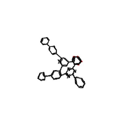 c1ccc(-c2ccc(-c3cc(-c4ccccc4)cc(-c4cc(-c5ccccc5)ccc4-c4nc(-c5ccccc5)nc(-c5ccccc5)n4)n3)cc2)cc1